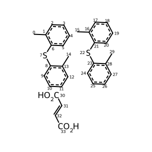 Cc1ccccc1Sc1ccccc1C.Cc1ccccc1Sc1ccccc1C.O=C(O)/C=C/C(=O)O